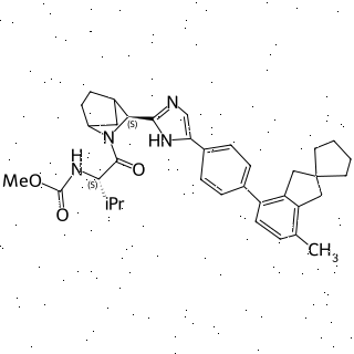 COC(=O)N[C@H](C(=O)N1C2CCC(C2)[C@H]1c1ncc(-c2ccc(-c3ccc(C)c4c3CC3(CCCC3)C4)cc2)[nH]1)C(C)C